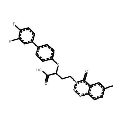 Cc1ccc2nnn(CCC(Sc3ccc(-c4ccc(F)c(F)c4)cc3)C(=O)O)c(=O)c2c1